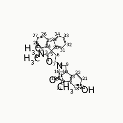 CN(C)C(=O)C(CCN1CC23CC(C)(C(=O)C12)c1cc(O)ccc13)(c1ccccc1)c1ccccc1